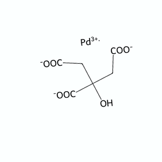 O=C([O-])CC(O)(CC(=O)[O-])C(=O)[O-].[Pd+3]